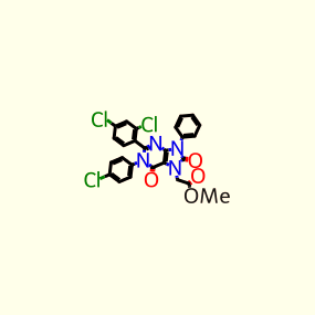 COC(=O)Cn1c(=O)n(-c2ccccc2)c2nc(-c3ccc(Cl)cc3Cl)n(-c3ccc(Cl)cc3)c(=O)c21